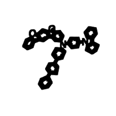 c1ccc(-c2ccc(-c3ccc(N(c4ccc(-n5c6ccccc6c6ccccc65)cc4)c4ccc5oc6cc7oc8ccccc8c7cc6c5c4)cc3)cc2)cc1